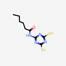 CCCCCC(=O)Nc1nc(S)nc(S)n1